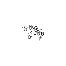 Cc1ccc(-c2nnc(NS(=O)(=O)C(C)C(C)c3ncc(F)cn3)n2C2CCOCC2)o1